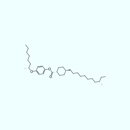 CCCCCC[C@@H](C)Oc1ccc(OC(=O)[C@H]2CC[C@H](CCCCCCCC[C@@H](C)CC)CC2)cc1